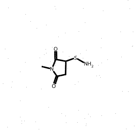 CN1C(=O)CC(SN)C1=O